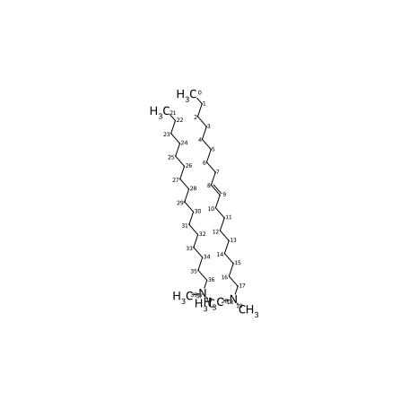 CCCCCCCCC=CCCCCCCCCN(C)C.CCCCCCCCCCCCCCCCN(C)C